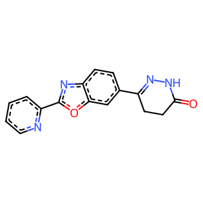 O=C1CCC(c2ccc3nc(-c4ccccn4)oc3c2)=NN1